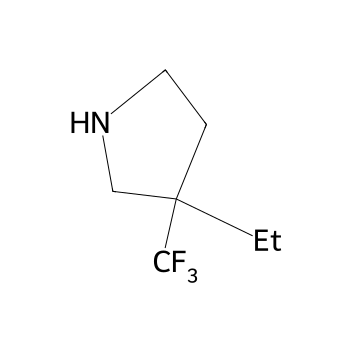 CCC1(C(F)(F)F)CCNC1